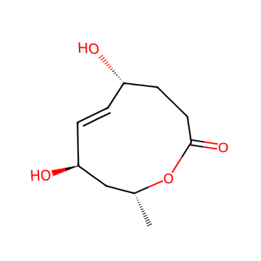 C[C@@H]1C[C@@H](O)/C=C/[C@H](O)CCC(=O)O1